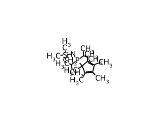 CC1=C(C)C(C)(P(=N[Si](C)(C)C)(C(C)C)C(C)C)C(C)=C1C